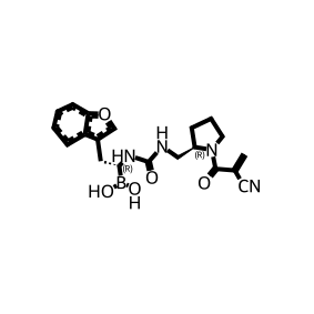 C=C(C#N)C(=O)N1CCC[C@@H]1CNC(=O)N[C@@H](Cc1coc2ccccc12)B(O)O